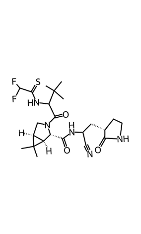 CC(C)(C)C(NC(=S)C(F)F)C(=O)N1C[C@H]2[C@@H]([C@H]1C(=O)NC(C#N)C[C@@H]1CCNC1=O)C2(C)C